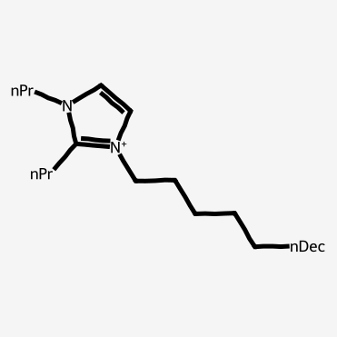 CCCCCCCCCCCCCCC[n+]1ccn(CCC)c1CCC